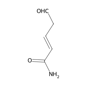 NC(=O)C=CCC=O